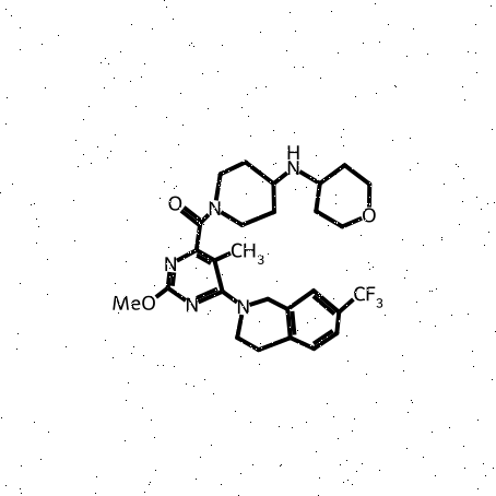 COc1nc(C(=O)N2CCC(NC3CCOCC3)CC2)c(C)c(N2CCc3ccc(C(F)(F)F)cc3C2)n1